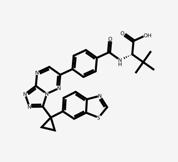 CC(C)(C)[C@H](NC(=O)c1ccc(-c2cnc3nnc(C4(c5ccc6ncsc6c5)CC4)n3n2)cc1)C(=O)O